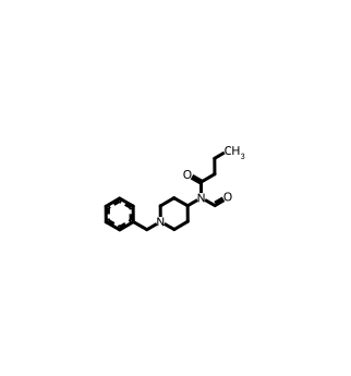 CCCC(=O)N(C=O)C1CCN(Cc2ccccc2)CC1